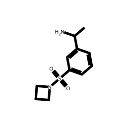 CC(N)c1cccc(S(=O)(=O)N2CCC2)c1